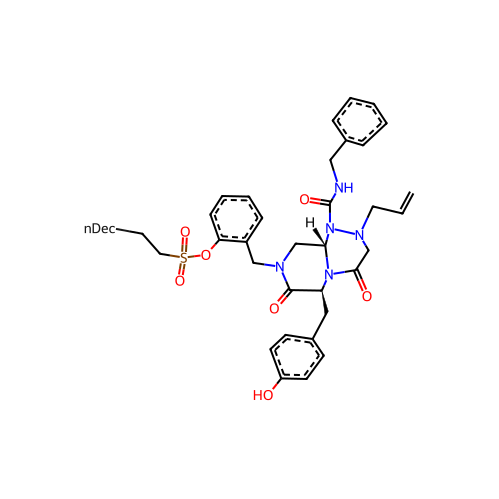 C=CCN1CC(=O)N2[C@@H](Cc3ccc(O)cc3)C(=O)N(Cc3ccccc3OS(=O)(=O)CCCCCCCCCCCC)C[C@@H]2N1C(=O)NCc1ccccc1